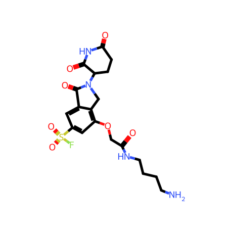 NCCCCNC(=O)COc1cc(S(=O)(=O)F)cc2c1CN(C1CCC(=O)NC1=O)C2=O